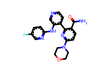 NC(=O)c1ccc(N2CCOCC2)nc1-c1ccncc1Nc1ccc(F)cn1